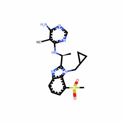 C[C@H](Nc1ncnc(N)c1C#N)c1nc2cccc(S(C)(=O)=O)c2n1CC1CC1